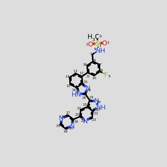 CS(=O)(=O)NCc1cc(F)cc(-c2cccc3[nH]c(-c4n[nH]c5cnc(-c6cnccn6)cc45)nc23)c1